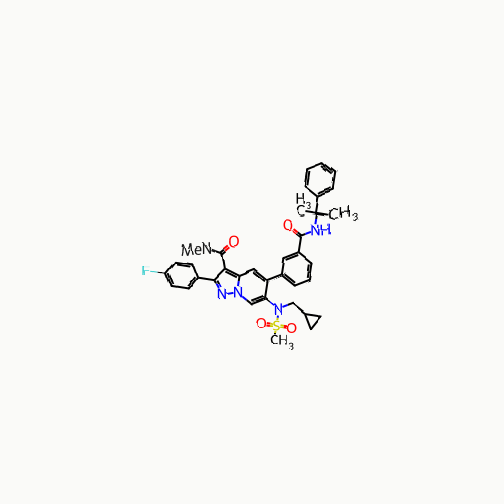 CNC(=O)c1c(-c2ccc(F)cc2)nn2cc(N(CC3CC3)S(C)(=O)=O)c(-c3cccc(C(=O)NC(C)(C)c4ccccc4)c3)cc12